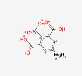 O=C(O)c1cccc(C(=O)O)c1C(=O)O.[MgH2]